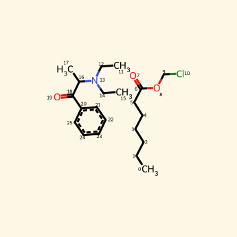 CCCCCCC(=O)OCCl.CCN(CC)C(C)C(=O)c1ccccc1